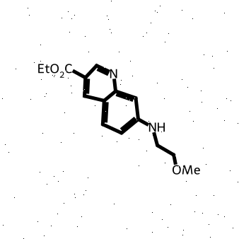 CCOC(=O)c1cnc2cc(NCCOC)ccc2c1